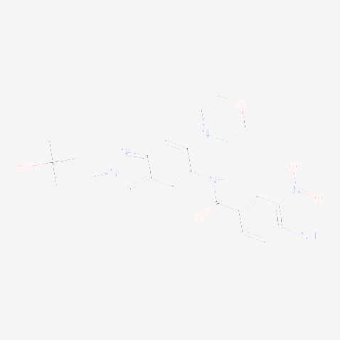 CC(C)(O)CCn1cc2cc(NC(=O)c3ccc(N)c([N+](=O)[O-])c3)c(N3CCOCC3)cc2n1